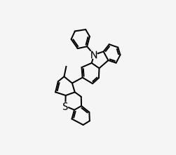 CC1C=CC2SC3=CCCC=C3CC2C1C1=CC2C(C=C1)c1ccccc1N2C1=CCCC=C1